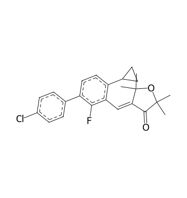 CC1(C)OC(C)(C)C(=Cc2c(C3CC3)ccc(-c3ccc(Cl)cc3)c2F)C1=O